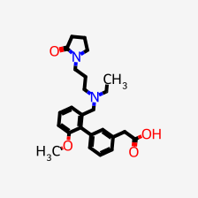 CCN(CCCN1CCCC1=O)Cc1cccc(OC)c1-c1cccc(CC(=O)O)c1